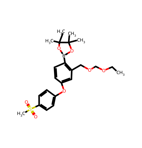 CCOCOCc1cc(Oc2ccc(S(C)(=O)=O)cc2)ccc1B1OC(C)(C)C(C)(C)O1